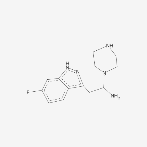 NC(Cc1n[nH]c2cc(F)ccc12)N1CCNCC1